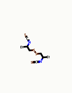 CCC(CSSCC(CC)N=C=S)N=C=S